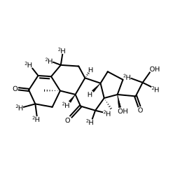 [2H]C1=C2C([2H])([2H])C[C@H]3[C@@H]4CC[C@](O)(C(=O)C([2H])([2H])O)[C@@]4(C)C([2H])([2H])C(=O)[C@]3([2H])[C@@]2(C)CC([2H])([2H])C1=O